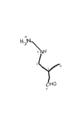 CC([CH]NN)C=O